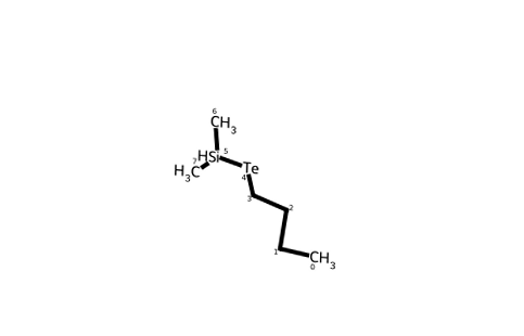 CCCC[Te][SiH](C)C